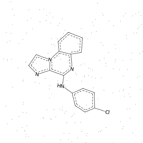 Clc1ccc(Nc2nc3ccccc3n3ccnc23)cc1